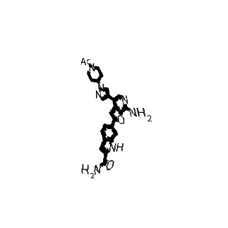 CC(=O)N1CCC(n2cc(-c3cnc(N)c4oc(-c5ccc6cc(C(N)=O)[nH]c6c5)cc34)cn2)CC1